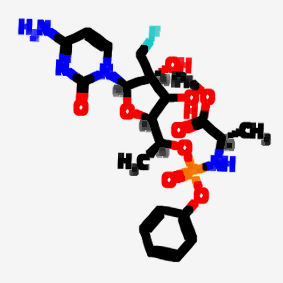 CC(C)OC(=O)[C@H](C)NP(=O)(Oc1ccccc1)O[C@@H](C)[C@H]1O[C@@H](n2ccc(N)nc2=O)[C@@](O)(CF)C1O